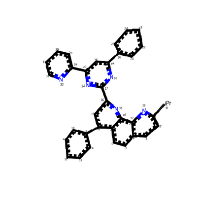 CC(C)c1ccc2ccc3c(-c4ccccc4)cc(-c4nc(-c5ccccc5)cc(-c5ccccn5)n4)nc3c2n1